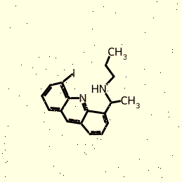 CCCNC(C)c1cccc2cc3cccc(I)c3nc12